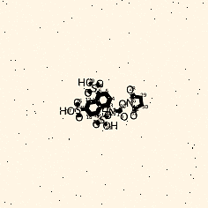 O=C(Nc1ccc(S(=O)(=O)O)c2cc(S(=O)(=O)O)cc(S(=O)(=O)O)c12)ON1C(=O)CCC1=O